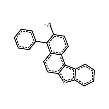 Nc1ccc2c(ccc3sc4ccccc4c32)c1-c1ccccc1